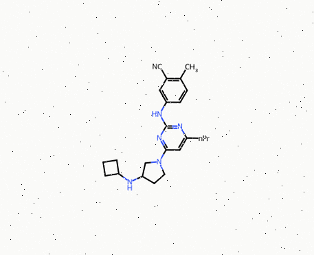 CCCc1cc(N2CCC(NC3CCC3)C2)nc(Nc2ccc(C)c(C#N)c2)n1